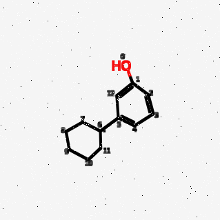 Oc1cccc([C]2CCCCC2)c1